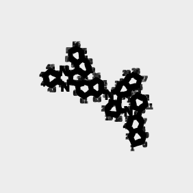 c1ccc2cc3c(cc2c1)c1ccccc1n3-c1cccc2c1c1cc3ccccc3cc1n2-c1ccc2cc(-c3nc4ccccc4nc3-c3cccc4ccccc34)ccc2c1